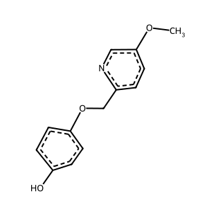 COc1ccc(COc2ccc(O)cc2)nc1